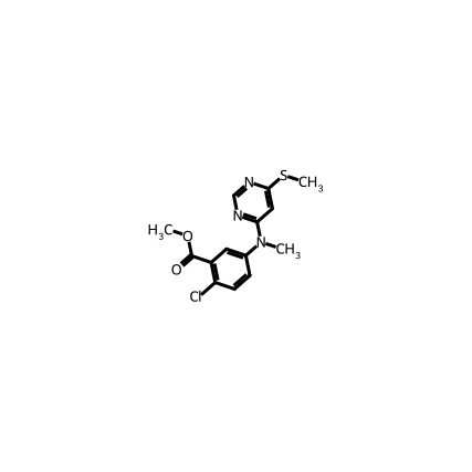 COC(=O)c1cc(N(C)c2cc(SC)ncn2)ccc1Cl